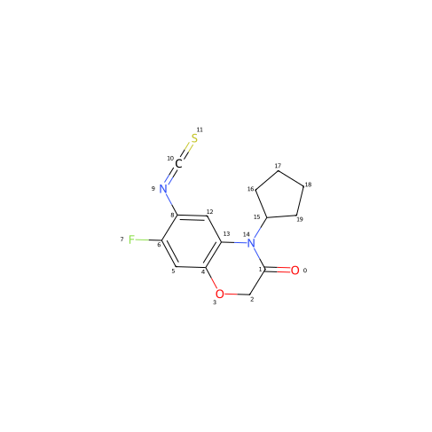 O=C1COc2cc(F)c(N=C=S)cc2N1C1CCCC1